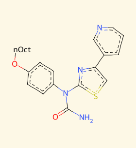 CCCCCCCCOc1ccc(N(C(N)=O)c2nc(-c3cccnc3)cs2)cc1